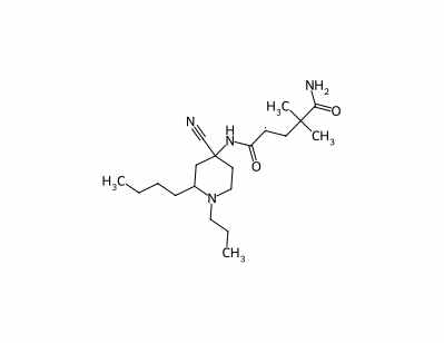 CCCCC1CC(C#N)(NC(=O)[CH]CC(C)(C)C(N)=O)CCN1CCC